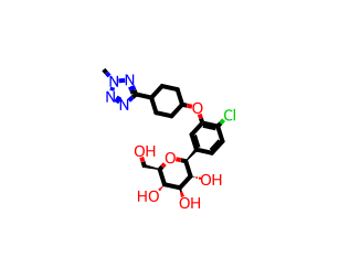 Cn1nnc(C2CCC(Oc3cc([C@@H]4O[C@H](CO)[C@@H](O)[C@H](O)[C@H]4O)ccc3Cl)CC2)n1